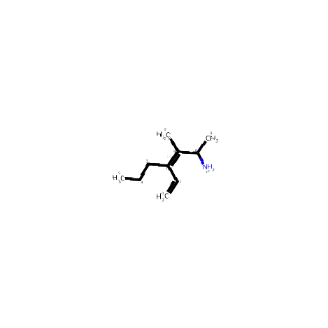 C=C/C(CCC)=C(/C)C(C)N